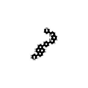 c1cncc(-c2ccc3ccc4ccc(-c5ccc(-c6ccc7ccc8c(-c9cccnc9)ccc9ccc6c7c98)cc5)nc4c3n2)c1